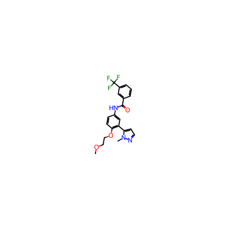 COCCOc1ccc(NC(=O)c2cccc(C(F)(F)F)c2)cc1-c1ccnn1C